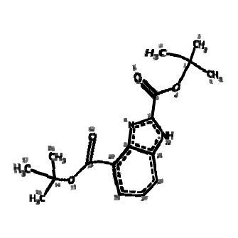 CC(C)(C)OC(=O)c1nc2c(C(=O)OC(C)(C)C)cccc2[nH]1